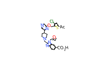 CC(=O)c1cc(Cl)c(COc2cncc(C3CCN(Cc4nc5ccc(C(=O)O)cc5n4C[C@@H]4CCO4)CC3)n2)s1